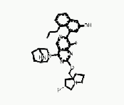 CCCc1cccc2cc(O)cc(-c3ncc4c(N5CC6CCC(C5)N6)nc(OC[C@@]56CCCN5C[C@H](F)C6)nc4c3F)c12